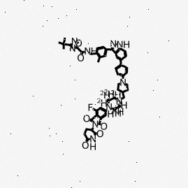 [2H]C1([2H])N(CC2CCN(c3ccc(-c4ccc5[nH]nc(-c6ccc(CNC(=O)c7nc(C(C)(C)C)no7)c(C)c6)c5c4)cc3)CC2)C([2H])([2H])C([2H])([2H])N(c2cc(F)c3c(c2)C(=O)N(C2CCC(=O)NC2=O)C3=O)C1([2H])[2H]